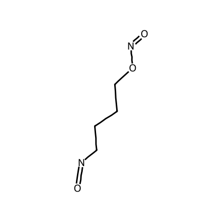 O=NCCCCON=O